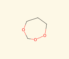 C1COCOOC1